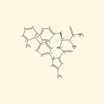 Cc1cc(C(=O)N[C@@H](Cc2ccccc2)C(O)C(N)=O)n(-c2ccc(-c3ccccc3C)cc2)n1